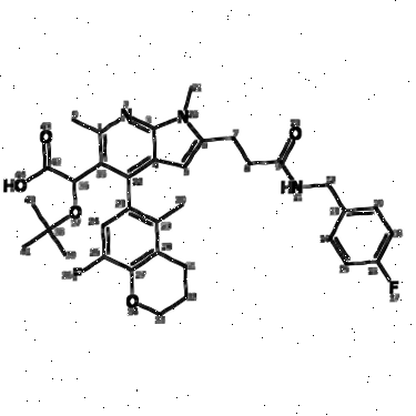 Cc1nc2c(cc(CCC(=O)NCc3ccc(F)cc3)n2C)c(-c2cc(F)c3c(c2C)CCCO3)c1C(OC(C)(C)C)C(=O)O